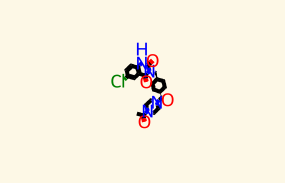 CC(=O)N1CCN(C(=O)[C@H]2CC[C@H](Cn3c(=O)[nH]c4ccc(Cl)cc4c3=O)CC2)CC1